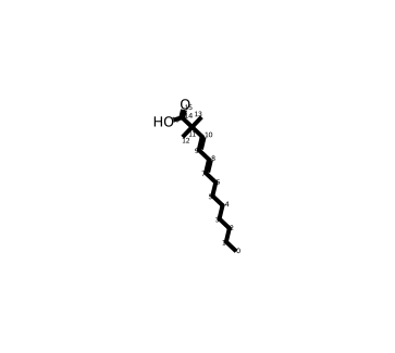 CCCCCCCC=CC=CC(C)(C)C(=O)O